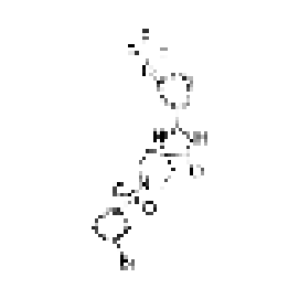 O=C1NC(c2cccc(OC(F)(F)F)c2)=NC12CCN(S(=O)(=O)c1cccc(Br)c1)CC2